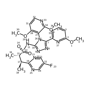 COc1cccc(-c2nnc(NS(=O)(=O)[C@@H](C)[C@H](C)c3ncc(F)cn3)n2-c2c(OC)ccnc2OC)n1